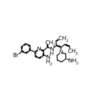 C=C/C(NC(=C)c1nc(-c2cccc(Br)c2)ccc1N)=C(\C=C/C)N1CCC[C@H](N)C1